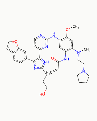 C=CC(=O)Nc1cc(Nc2nccc(-c3[nH]c(CCCO)nc3-c3ccc4ccoc4c3)n2)c(OC)cc1N(C)CCN1CCCC1